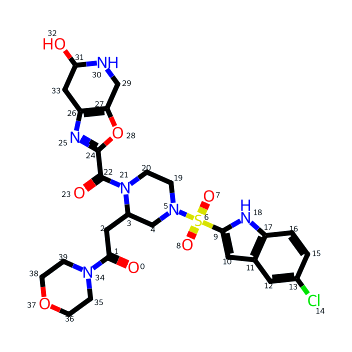 O=C(CC1CN(S(=O)(=O)c2cc3cc(Cl)ccc3[nH]2)CCN1C(=O)c1nc2c(o1)CNC(O)C2)N1CCOCC1